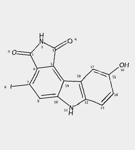 O=C1NC(=O)c2c1c(I)cc1[nH]c3ccc(O)cc3c21